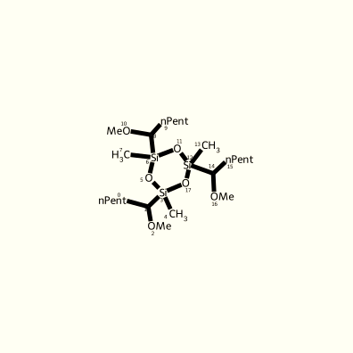 CCCCCC(OC)[Si]1(C)O[Si](C)(C(CCCCC)OC)O[Si](C)(C(CCCCC)OC)O1